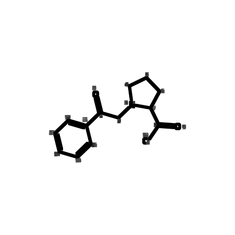 O=C(CN1CCCC1C(=O)Cl)c1ccccc1